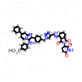 O=C1CCC(N2C(=O)c3cccc(NCc4cn(Cc5ccc(-c6nc7cc(-c8ccccc8)ccn7c6Nc6ccc(C(=O)O)cc6)cc5)nn4)c3C2=O)C(=O)N1